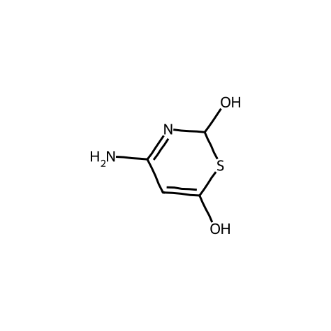 NC1=NC(O)SC(O)=C1